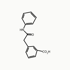 O=C(Cc1cccc(C(=O)O)c1)Nc1ccccc1